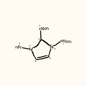 CCCCCCCCCC1N(CCC)C=CN1CCCCCCCCC